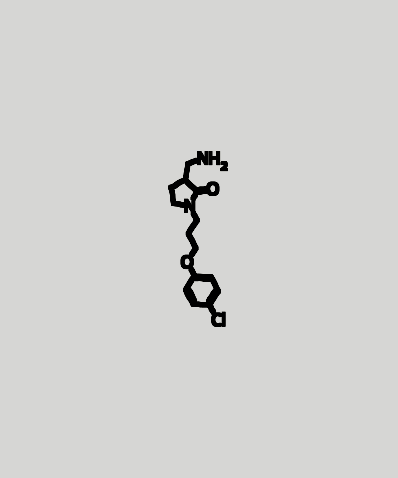 NCC1CCN(CCCOc2ccc(Cl)cc2)C1=O